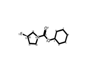 O=C(OC1CCCCC1)N1CC[C@@H](F)C1